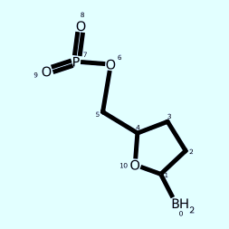 BC1CCC(COP(=O)=O)O1